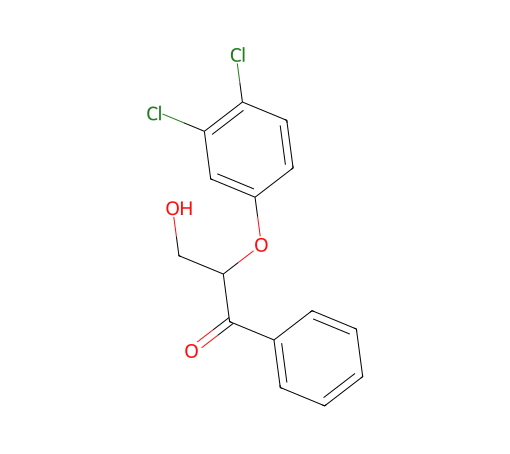 O=C(c1ccccc1)C(CO)Oc1ccc(Cl)c(Cl)c1